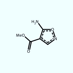 COC(=O)c1cnoc1N